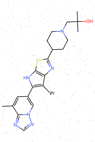 Cc1cc(-c2[nH]c3sc(C4CCN(CC(C)(C)O)CC4)nc3c2C(C)C)cn2ncnc12